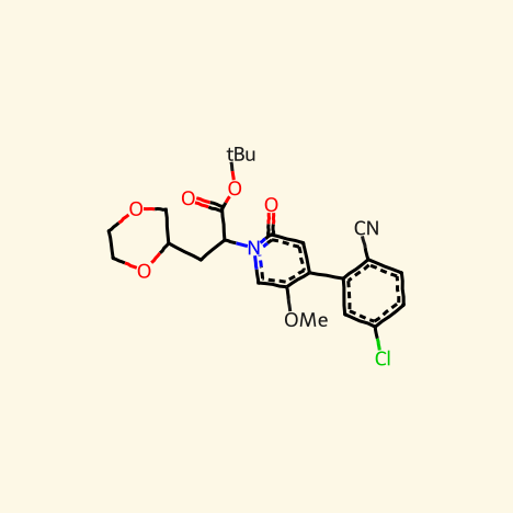 COc1cn(C(CC2COCCO2)C(=O)OC(C)(C)C)c(=O)cc1-c1cc(Cl)ccc1C#N